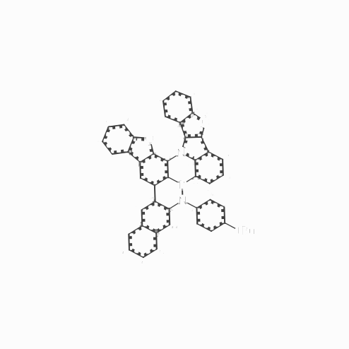 CC(C)(C)c1ccc(N2B3c4c(cc5c(oc6ccccc65)c4-n4c5c3cccc5c3oc5ccccc5c34)-c3cc4ccccc4cc32)cc1